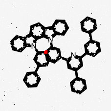 c1ccc(-c2cccc(-c3cc(-c4ccccc4)cc(-c4cccc(-n5c6ccccc6c6ccc7c8ccccc8n(-c8cccc(-c9ccccc9)c8)c7c65)c4)n3)c2)cc1